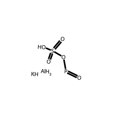 O=POS(=O)(=O)O.[AlH3].[KH]